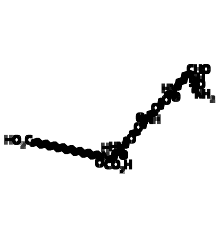 NCC(=O)SN[C@H](C=O)CCCCNC(=O)COCCOCCNC(=O)COCCOCCNC(=O)CC[C@H](NC(=O)CCCCCCCCCCCCCCCCC(=O)O)C(=O)O